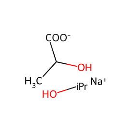 CC(C)O.CC(O)C(=O)[O-].[Na+]